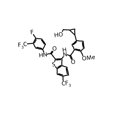 COc1ccc(C2CC2CO)cc1C(=O)Nc1c(C(=O)Nc2ccc(F)c(C(F)(F)F)c2)sc2cc(C(F)(F)F)ccc12